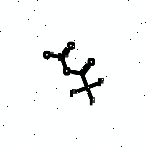 O=C(O[N+](=O)[O-])C(F)(F)F